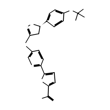 O=C(O)c1ccc(-c2ccc(OC3=NO[C@@H](c4ccc(OC(F)(F)F)cc4)C3)cn2)o1